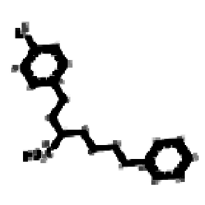 CCc1ccc(CCC(CCCCc2ccccc2)C(=O)O)cc1